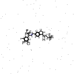 Cc1cc(C(/C=C/c2ccc3c(c2)CCC3NCCC(F)(F)F)C(F)(F)F)cc(Cl)c1F